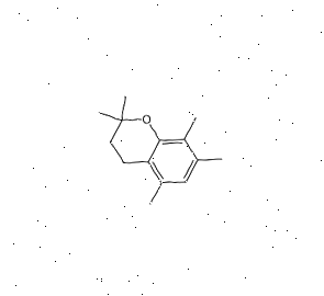 Cc1cc(C)c2c(c1C)OC(C)(C)CC2